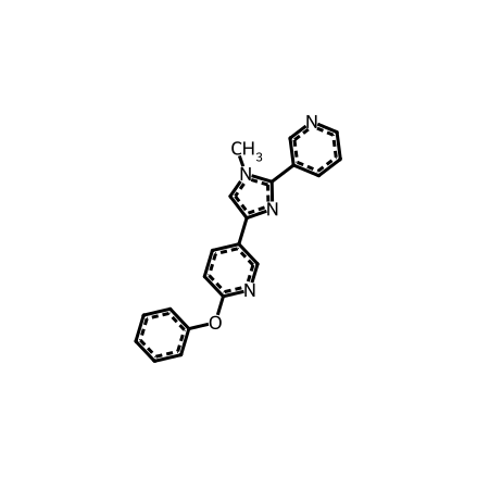 Cn1cc(-c2ccc(Oc3ccccc3)nc2)nc1-c1cccnc1